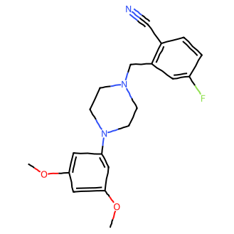 COc1cc(OC)cc(N2CCN(Cc3cc(F)ccc3C#N)CC2)c1